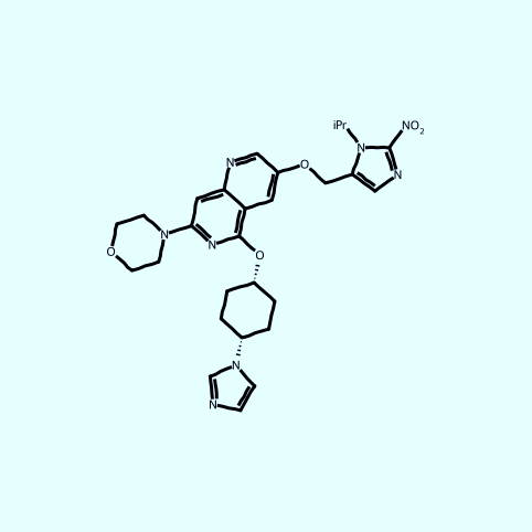 CC(C)n1c(COc2cnc3cc(N4CCOCC4)nc(O[C@H]4CC[C@@H](n5ccnc5)CC4)c3c2)cnc1[N+](=O)[O-]